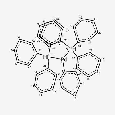 c1cc[c]([Pd]([PH](c2ccccc2)(c2ccccc2)c2ccccc2)[PH](c2ccccc2)(c2ccccc2)c2ccccc2)cc1